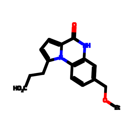 CCOCc1ccc2c(c1)[nH]c(=O)c1ccc(CCC(=O)O)n12